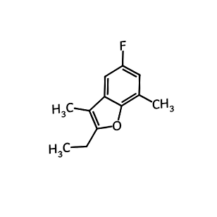 CCc1oc2c(C)cc(F)cc2c1C